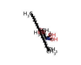 CCCCCCCCCCCCCCCC(OCCCCCCCCCCCCCCC(C)C)O[Si](C)(C)OCCCCCCN(CCO)CCO